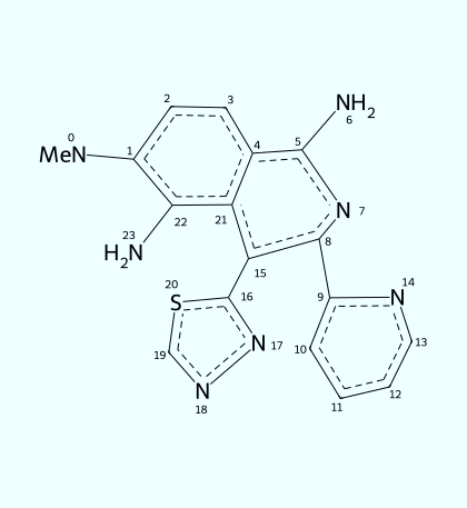 CNc1ccc2c(N)nc(-c3ccccn3)c(-c3nncs3)c2c1N